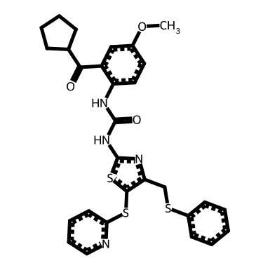 COc1ccc(NC(=O)Nc2nc(CSc3ccccc3)c(Sc3ccccn3)s2)c(C(=O)C2CCCC2)c1